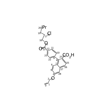 C=CCOc1ccc2c(-c3ccc(C(=O)OC[C@@H](Cl)CC(C)C)cc3)c(C(=O)O)ccc2c1